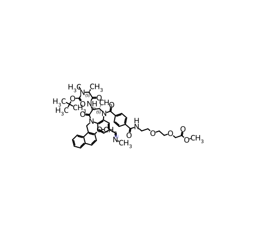 C/N=C/c1ccc2c(c1)N(C(=O)c1ccc(C(=O)NCCOCCOCC(=O)OC)cc1)[C@@H](C)[C@H](NC(=O)[C@H](C)N(C)C(=O)OC(C)(C)C)C(=O)N2Cc1c(OC)ccc2ccccc12